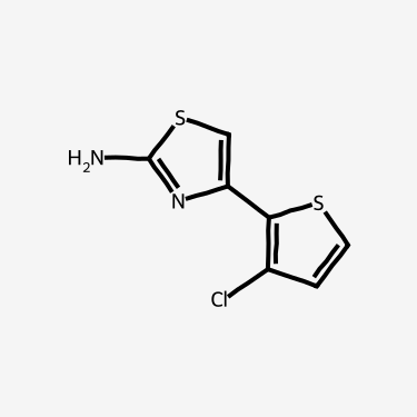 Nc1nc(-c2sccc2Cl)cs1